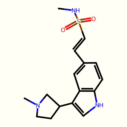 CNS(=O)(=O)/C=C/c1ccc2[nH]cc(C3CCN(C)C3)c2c1